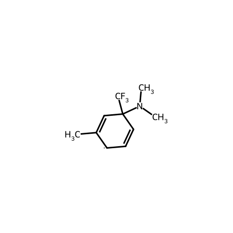 CC1=CC(N(C)C)(C(F)(F)F)C=C[CH]1